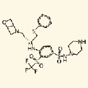 O=S(=O)(NN1CCNCC1)c1ccc(N[C@H](CCN2CC3OCC32)CSc2ccccc2)c(S(=O)(=O)C(F)(F)F)c1